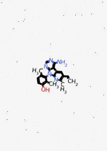 C=Cc1cc2c3c(N)ncnc3n(-c3c(C)ccc(O)c3C)c2nc1C